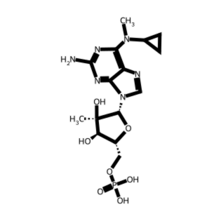 CN(c1nc(N)nc2c1ncn2[C@@H]1O[C@H](COP(=O)(O)O)[C@@H](O)[C@@]1(C)O)C1CC1